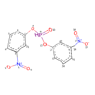 O=[N+]([O-])c1cccc(O[PH](=O)Oc2cccc([N+](=O)[O-])c2)c1